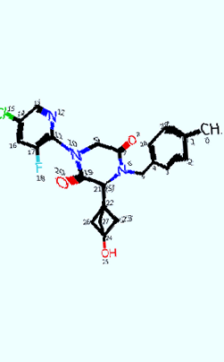 Cc1ccc(CN2C(=O)CN(c3ncc(Cl)cc3F)C(=O)[C@@H]2C23CC(O)(C2)C3)cc1